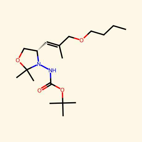 CCCCOC/C(C)=C/[C@H]1COC(C)(C)N1NC(=O)OC(C)(C)C